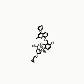 CNC(=O)[C@@H]1C[C@@H](OCC2CC2)CN1S(=O)(=O)c1ccc(Cl)c(COc2cccc3c(-n4ccnc4)cc(C)nc23)c1Cl